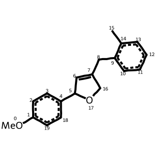 COc1ccc(C2C=C(Cc3ccccc3C)CO2)cc1